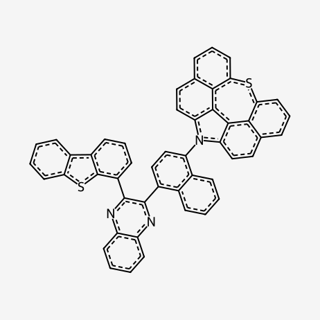 c1ccc2nc(-c3cccc4c3sc3ccccc34)c(-c3ccc(-n4c5ccc6cccc7sc8cccc9ccc4c(c98)c5c67)c4ccccc34)nc2c1